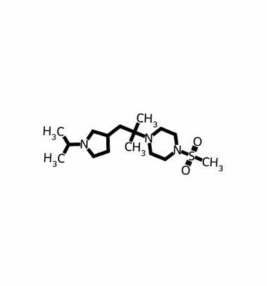 CC(C)N1CCC(CC(C)(C)N2CCN(S(C)(=O)=O)CC2)C1